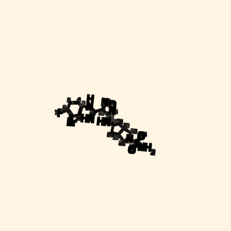 N=C(Nc1ccc(F)c(Br)c1)c1nonc1NC1CC2CN(S(N)(=O)=O)CC2C1